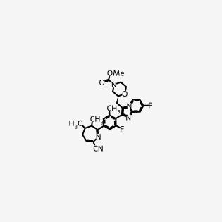 COC(=O)N1CCO[C@@H](Cc2c(-c3c(C)cc(C4=NC(C#N)=CCC(C)C4C)cc3F)nc3cc(F)ccn23)C1